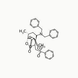 C[C@@H]1CC(N(Cc2ccccc2)Cc2ccccc2)[C@]23C[C@]1(OO[C@]2(C)CS(=O)(=O)c1ccccc1)OC(=O)C3=O